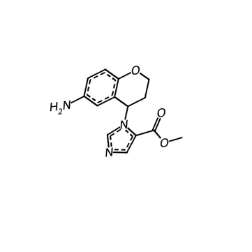 COC(=O)c1cncn1C1CCOc2ccc(N)cc21